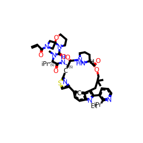 C=CC(=O)N1CC2(C1)OCCCN2C(=O)N(C)[C@H](C(=O)N[C@H]1Cc2nc(cs2)-c2ccc3c(c2)c(c(-c2cccnc2C(C)C)n3CC)CC(C)(C)COC(=O)[C@@H]2CCCN(N2)C1=O)C(C)C